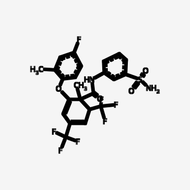 Cc1cc(F)ccc1OC1=CC(C(F)(F)F)=CC(C(F)(F)F)C1(C)C(=O)Nc1cccc(S(N)(=O)=O)c1